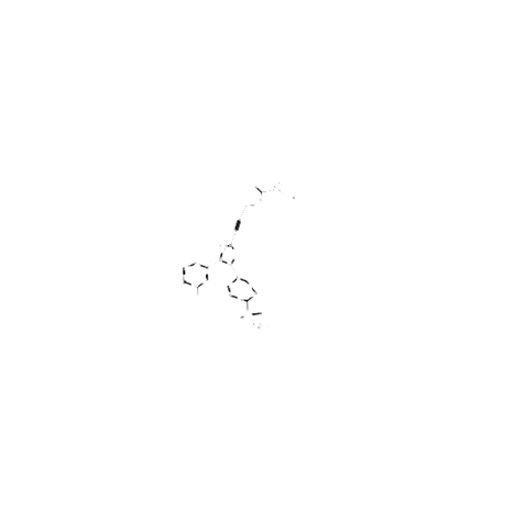 CN(O)C(=S)SCC#Cc1nc(-c2ccc(F)c(Cl)c2)c(-c2ccc(S(N)(=O)=O)cc2)o1